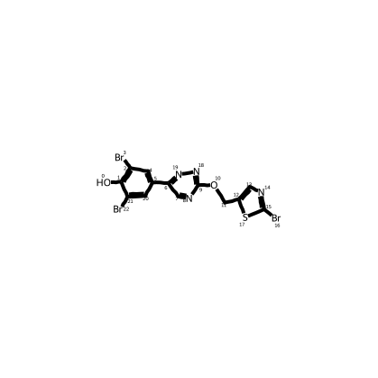 Oc1c(Br)cc(-c2cnc(OCc3cnc(Br)s3)nn2)cc1Br